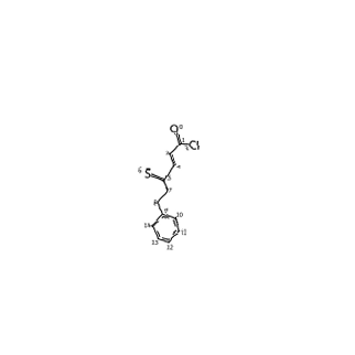 O=C(Cl)C=CC(=S)CCc1ccccc1